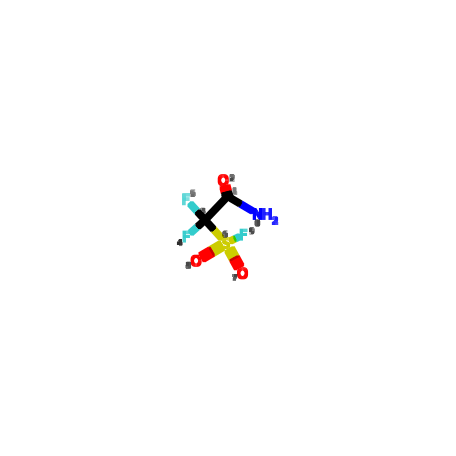 NC(=O)C(F)(F)S(=O)(=O)F